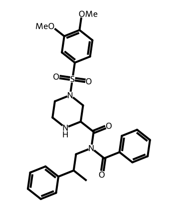 COc1ccc(S(=O)(=O)N2CCNC(C(=O)N(CC(C)c3ccccc3)C(=O)c3ccccc3)C2)cc1OC